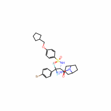 NC1CC2CCC(C1)N2C(=O)[C@@H](NS(=O)(=O)c1ccc(OCC2CCCC2)cc1)C(F)(F)c1ccc(Br)cc1